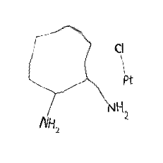 NC1CCCCC1N.[Cl][Pt]